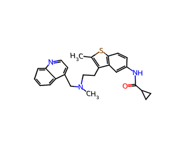 Cc1sc2ccc(NC(=O)C3CC3)cc2c1CCN(C)Cc1ccnc2ccccc12